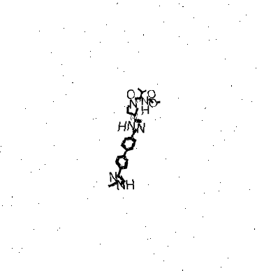 COC(=O)N[C@H](C(=O)N1CC[C@H](c2cnc(-c3ccc(-c4ccc(-c5c[nH]c(C)n5)cc4)cc3)[nH]2)C1)C(C)C